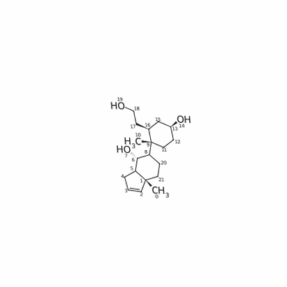 C[C@@]12C=CCC1[C@H](O)C([C@@]1(C)CC[C@H](O)C[C@@H]1CCO)CC2